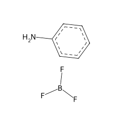 FB(F)F.Nc1ccccc1